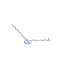 CCCCCCCCCCC[n+]1cc[nH]c1CCCCCCCCCCC(C)C